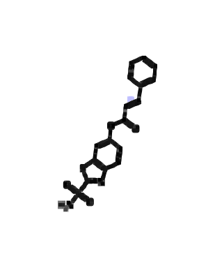 NS(=O)(=O)c1nc2ccc(OC(=O)/C=C/c3ccccc3)cc2s1